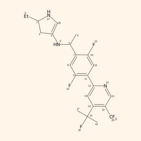 CCC1CC(NC(C)c2cc(F)c(-c3cc(C(C)(C)F)c(C(F)(F)F)cn3)cc2F)=CN1